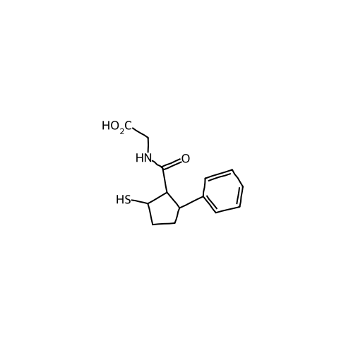 O=C(O)CNC(=O)C1C(S)CCC1c1ccccc1